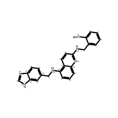 COc1ccccc1CNc1ccc2c(NCc3ccc4nc[nH]c4c3)cccc2n1